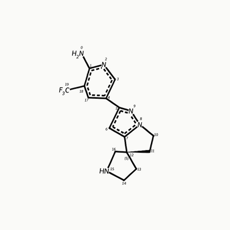 Nc1ncc(-c2cc3n(n2)CC[C@]32CCNC2)cc1C(F)(F)F